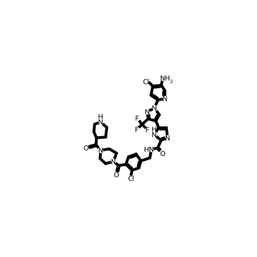 Nc1cnc(-n2cc(-c3cnc(C(=O)NCc4ccc(C(=O)N5CCN(C(=O)C6CCNCC6)CC5)c(Cl)c4)[nH]3)c(C(F)(F)F)n2)cc1Cl